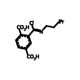 CC(C)CCN=C(Cl)c1cc(C(=O)O)ccc1C(=O)O